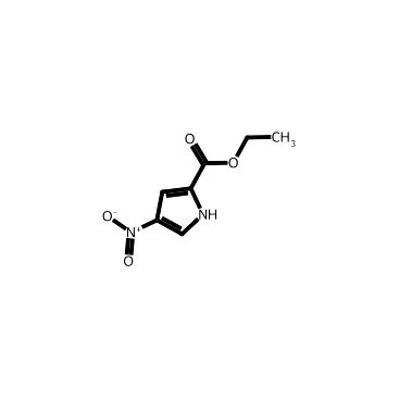 CCOC(=O)c1cc([N+](=O)[O-])c[nH]1